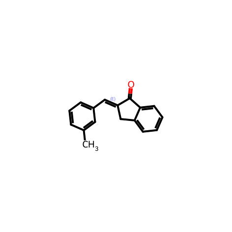 Cc1cccc(/C=C2\Cc3ccccc3C2=O)c1